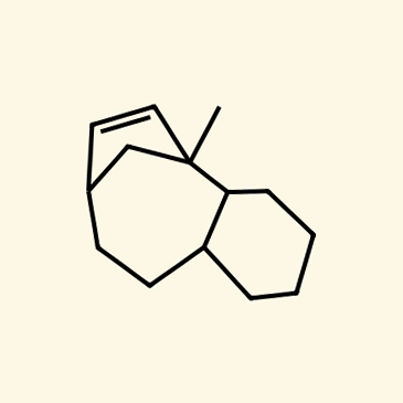 CC12C=CC(CCC3CCCCC31)C2